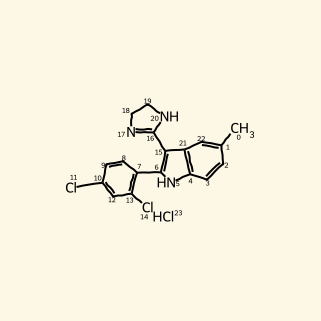 Cc1ccc2[nH]c(-c3ccc(Cl)cc3Cl)c(C3=NCCN3)c2c1.Cl